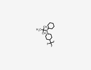 CC(C)(C)N(C1CCCCC1)N1CCC(C(F)(F)F)CC1